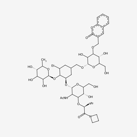 CCC[C@H](OC1C(NC(C)=O)[C@H](O[C@@H]2CC(CO[C@H]3OC(CO)[C@@H](O)C(OCc4cc5ccccc5oc4=O)C3O)CC(CC)C2O[C@@H]2OC(C)[C@@H](O)C(O)C2O)OC(CO)[C@@H]1O)C(=O)N1CCC1